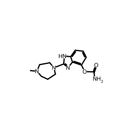 CN1CCCN(c2nc3c(OC(N)=O)cccc3[nH]2)CC1